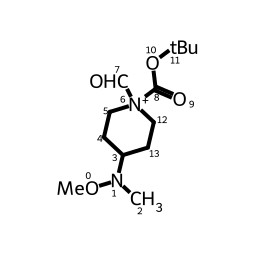 CON(C)C1CC[N+](C=O)(C(=O)OC(C)(C)C)CC1